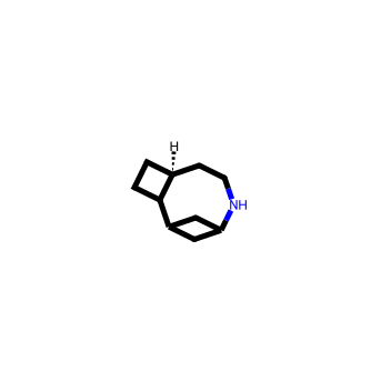 C1C[C@@H]2CCC2C2CC(C2)N1